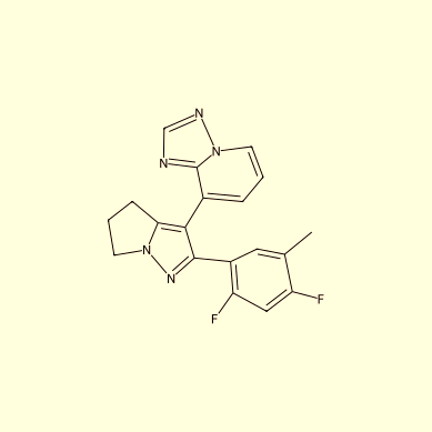 Cc1cc(-c2nn3c(c2-c2cccn4ncnc24)CCC3)c(F)cc1F